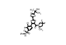 CC(C)NS(=O)(=O)c1ccc(-c2sc(-c3nnc(C(C)(C)O)o3)nc2C(=O)N2CC(F)(F)C[C@@H]2C)c(Cl)c1F